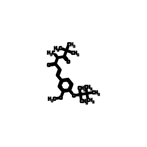 COc1cc(/C=C/C(=O)C(C)C(=O)C(C)(C)C)ccc1O[Si](C)(C)C(C)(C)C